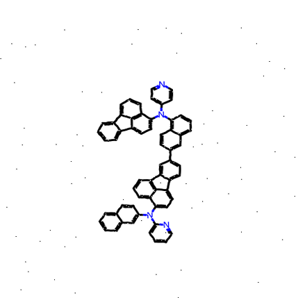 c1ccc(N(c2ccc3ccccc3c2)c2ccc3c4c(cccc24)-c2cc(-c4ccc5c(N(c6ccncc6)c6ccc7c8c(cccc68)-c6ccccc6-7)cccc5c4)ccc2-3)nc1